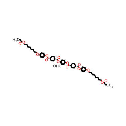 C=CC(=O)OCCCCCCCCOc1ccc(OC(=O)[C@H]2CC[C@H](C(=O)Oc3ccc(OC(=O)[C@H]4CC[C@H](C(=O)Oc5ccc(OCCCCCCCCOC(=O)C=C)cc5)CC4)c(C=O)c3)CC2)cc1